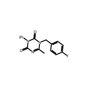 Cc1nc(=O)n(C(C)C)c(=O)n1Cc1ccc(F)cc1